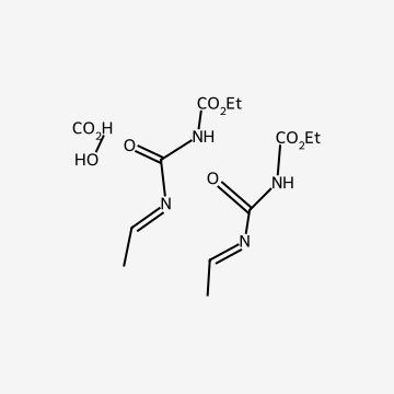 CC=NC(=O)NC(=O)OCC.CC=NC(=O)NC(=O)OCC.O=C(O)O